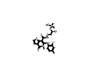 CC[C@@H](CONC(=O)c1c(Nc2ccc(I)cc2F)n(C)c(=O)c2ccoc12)O[Si](C)(C)C(C)(C)C